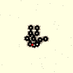 CC12CCc3ccccc3C1(C)N(c1cc3c4c(c1)N(c1cccc(-c5ccccc5)c1)c1cc(-c5ccccc5)ccc1B4c1ccccc1N3c1ccccc1)c1ccc(-c3ccccc3)cc12